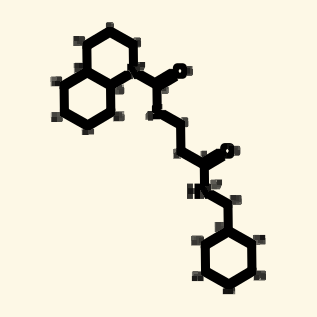 O=C(CCSC(=O)N1CCCC2CCCCC21)NCC1CCCCC1